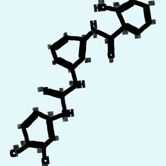 O=C(Nc1cccc(NC(=S)Nc2ccc(Cl)c(Cl)c2)c1)c1ccccc1O